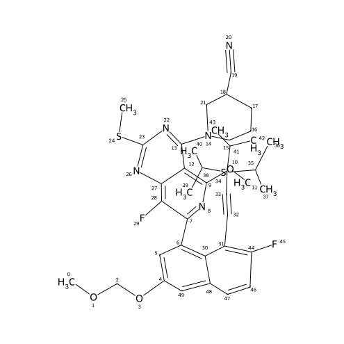 COCOc1cc(-c2nc(OC)c3c(N4CCCC(C#N)C4)nc(SC)nc3c2F)c2c(C#C[Si](C(C)C)(C(C)C)C(C)C)c(F)ccc2c1